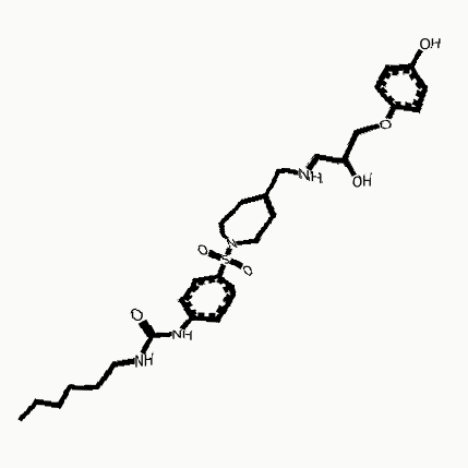 CCCCCCNC(=O)Nc1ccc(S(=O)(=O)N2CCC(CNCC(O)COc3ccc(O)cc3)CC2)cc1